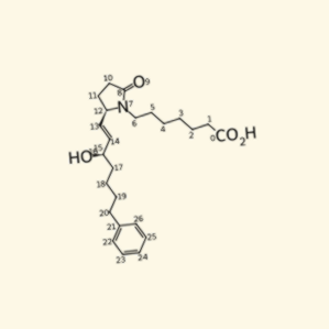 O=C(O)CCCCCCN1C(=O)CC[C@@H]1C=C[C@H](O)CCCCc1ccccc1